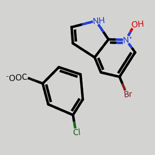 O=C([O-])c1cccc(Cl)c1.O[n+]1cc(Br)cc2cc[nH]c21